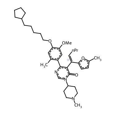 CCC/C=C(\c1ccc(C)o1)c1c(-c2cc(OC)c(OCCCCCC3CCCC3)cc2C)ncn(C2CCN(C)CC2)c1=O